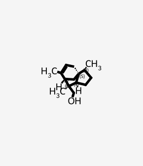 CC1=CC[C@@]23C[C@@H]1[C@](C)(CO)[C@@H]2CC[C@H]3C